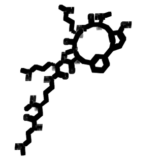 CNCCC[C@H](NC(=O)[C@@H]1Cc2cccc(c2)-c2ccc(O)c(c2)C[C@H](NC)C(=O)N[C@@H](CCCNC)C(=O)N1C)C(=O)NCCC[C@@H](CC(=O)NCCNC)NC